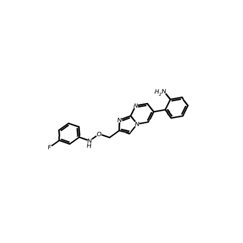 Nc1ccccc1-c1cnc2nc(CONc3cccc(F)c3)cn2c1